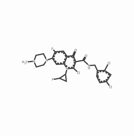 CN1CCN(c2cc3c(cc2F)c(=O)c(C(=O)NCc2ccc(Cl)cc2Cl)c(Cl)n3C2CC2F)CC1